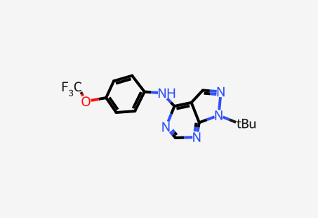 CC(C)(C)n1ncc2c(Nc3ccc(OC(F)(F)F)cc3)ncnc21